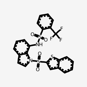 O=S(=O)(Nc1cccc2ccn(S(=O)(=O)c3cc4ccccc4s3)c12)c1ccccc1C(F)(F)F